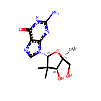 CO[C@@]1(CO)O[C@@H](n2cnc3c(=O)[nH]c(N)nc32)C(C)(C)[C@@H]1O